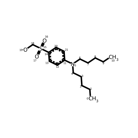 CCCCCN(CCCCC)c1ccc(S(=O)(=O)C[O])cc1